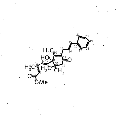 COC(=O)C=C(C)C=C[C@@]1(O)C(C)=C(CC=Cc2ccccc2)C(=O)CC1(C)C